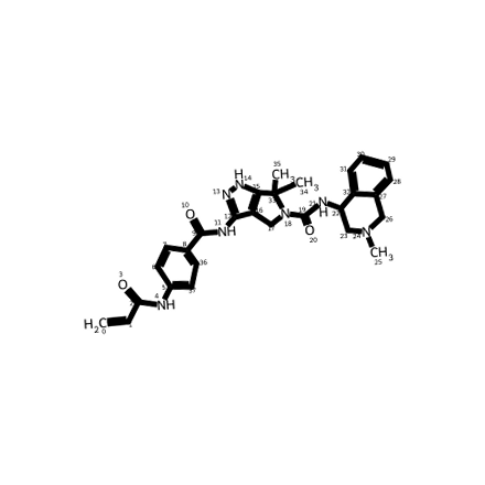 C=CC(=O)Nc1ccc(C(=O)Nc2n[nH]c3c2CN(C(=O)NC2CN(C)Cc4ccccc42)C3(C)C)cc1